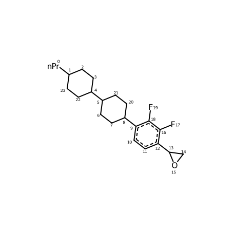 CCCC1CCC(C2CCC(c3ccc(C4CO4)c(F)c3F)CC2)CC1